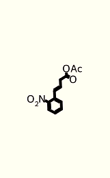 CC(=O)OC(=O)CC=Cc1ccccc1[N+](=O)[O-]